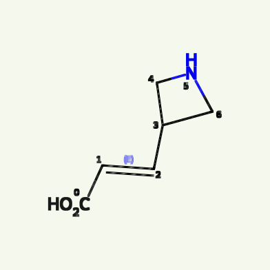 O=C(O)/C=C/C1CNC1